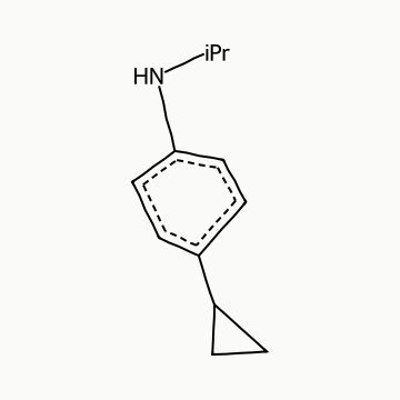 CC(C)Nc1ccc(C2CC2)cc1